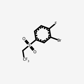 O=S(=O)(CC(F)(F)F)c1ccc(F)c(Br)c1